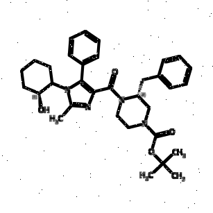 Cc1nc(C(=O)N2CCN(C(=O)OC(C)(C)C)C[C@H]2Cc2ccccc2)c(-c2ccccc2)n1C1CCCC[C@@H]1O